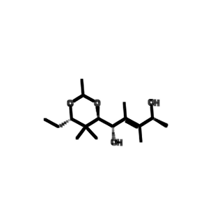 CC[C@@H]1OC(C)O[C@@H]([C@@H](O)/C(C)=C(\C)[C@H](C)O)C1(C)C